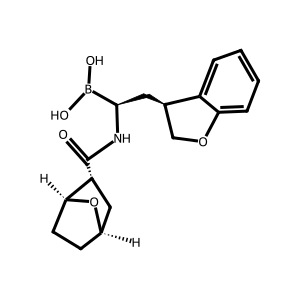 O=C(N[C@H](C[C@@H]1COc2ccccc21)B(O)O)[C@@H]1C[C@H]2CC[C@@H]1O2